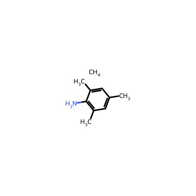 C.Cc1cc(C)c(N)c(C)c1